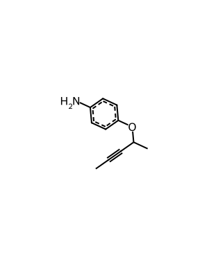 CC#CC(C)Oc1ccc(N)cc1